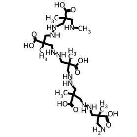 CNCC(C)(CNNCC(C)(CNNCC(C)(CNNCC(C)(CNNCC(C)(CN)C(=O)O)C(=O)O)C(=O)O)C(=O)O)C(=O)O